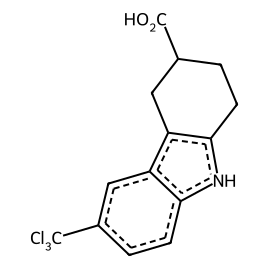 O=C(O)C1CCc2[nH]c3ccc(C(Cl)(Cl)Cl)cc3c2C1